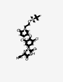 CC(C)(C)[Si](C)(C)OCCn1cc(Oc2c(Cl)cc(-n3nc(C#N)c(=O)[nH]c3=O)cc2Cl)ccc1=O